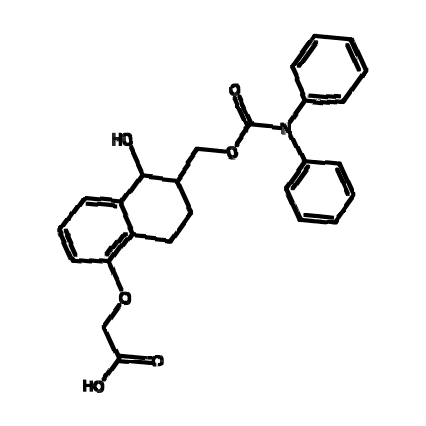 O=C(O)COc1cccc2c1CCC(COC(=O)N(c1ccccc1)c1ccccc1)C2O